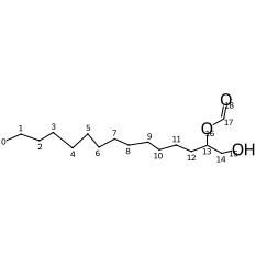 CCCCCCCCCCCCCC(CO)OC=O